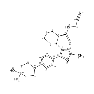 Cc1nc([C@@H]2CCCC[C@H]2C(=O)NCC#N)c(-c2ccc(N3CCS(O)(O)CC3)cc2)o1